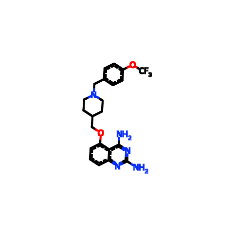 Nc1nc(N)c2c(OCC3CCN(Cc4ccc(OC(F)(F)F)cc4)CC3)cccc2n1